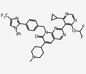 CC(C)n1cc(C(F)(F)F)nc1-c1ccc(Cn2c(=O)c(C3CCN(C)CC3)cc3cnc(-c4c(OC(F)F)ncnc4C4CC4)nc32)cc1